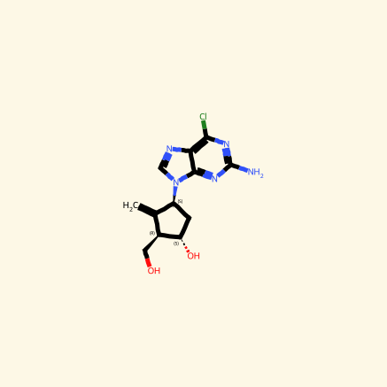 C=C1[C@H](CO)[C@@H](O)C[C@@H]1n1cnc2c(Cl)nc(N)nc21